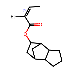 C/C=C(/CC)C(=O)OC1CC2CC1C1CCCC21